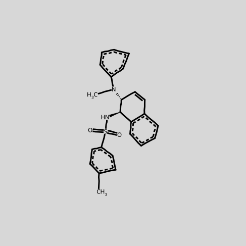 Cc1ccc(S(=O)(=O)N[C@@H]2c3ccccc3C=C[C@H]2N(C)c2ccccc2)cc1